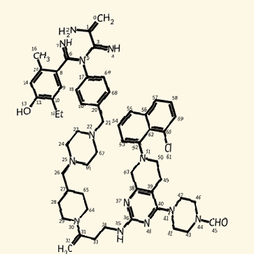 C=C(N)C(=N)N(C(=N)c1cc(CC)c(O)cc1C)c1ccc(CN2CCN(CC3CCN(C(=C)CCNc4nc5c(c(N6CCN(C=O)CC6)n4)CCN(c4cccc6cccc(Cl)c46)C5)CC3)CC2)cc1